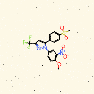 COc1ccc(-n2nc(C(F)(F)F)cc2-c2ccc(S(C)(=O)=O)cc2)cc1[N+](=O)[O-]